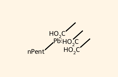 CC(=O)O.CC(=O)O.CC(=O)O.CCCC[CH2][Pb]